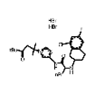 Br.Br.CCCC(NC1CCc2cc(F)cc(Cl)c2C1)C(=O)Nc1cn(C(C)(C)CC(=O)C(C)(C)C)cn1